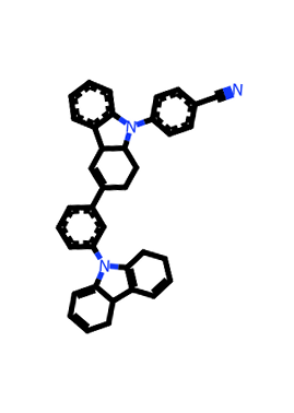 N#Cc1ccc(N2c3ccccc3C3C=C(c4cccc(N5C6=CC=CCC6C6=C5CCC=C6)c4)CCC32)cc1